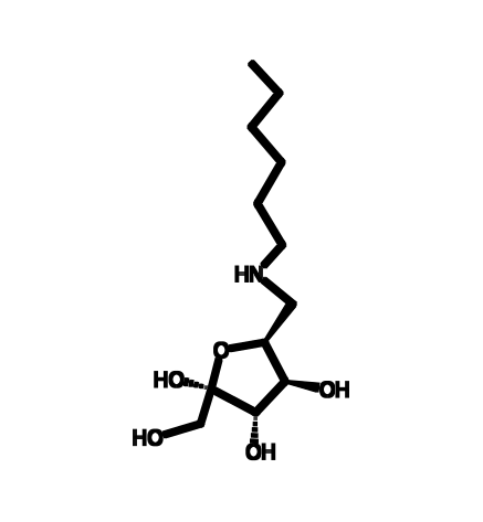 CCCCCCNC[C@@H]1O[C@](O)(CO)[C@@H](O)[C@@H]1O